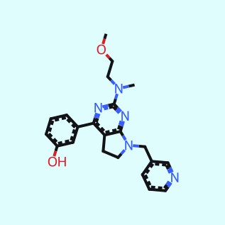 COCCN(C)c1nc(-c2cccc(O)c2)c2c(n1)N(Cc1cccnc1)CC2